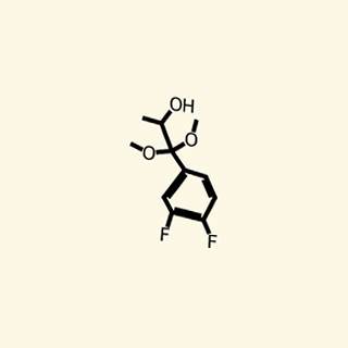 COC(OC)(c1ccc(F)c(F)c1)C(C)O